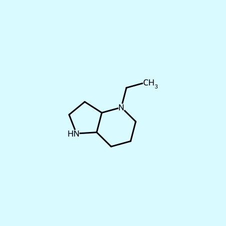 CCN1CCCC2NCCC21